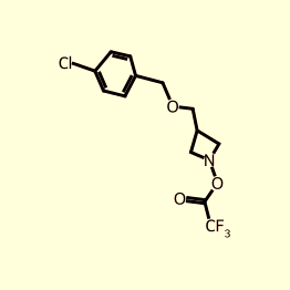 O=C(ON1CC(COCc2ccc(Cl)cc2)C1)C(F)(F)F